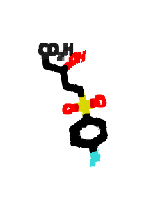 O=C(O)CC(O)CCS(=O)(=O)c1ccc(F)cc1